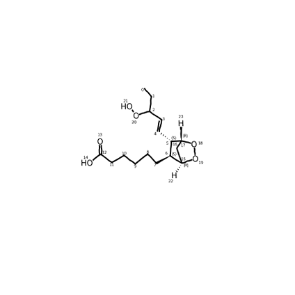 CCC(C=C[C@H]1[C@H](CCCCCC(=O)O)[C@H]2C[C@H]1OO2)OO